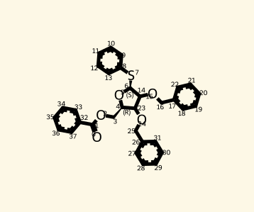 O=C(OC[C@H]1O[C@@H](Sc2ccccc2)C(OCc2ccccc2)C1OCc1ccccc1)c1ccccc1